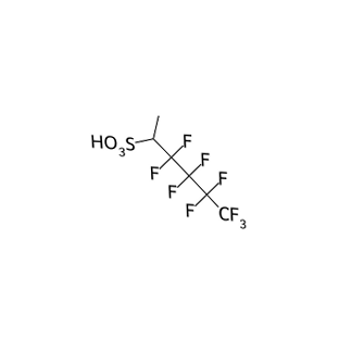 CC(C(F)(F)C(F)(F)C(F)(F)C(F)(F)F)S(=O)(=O)O